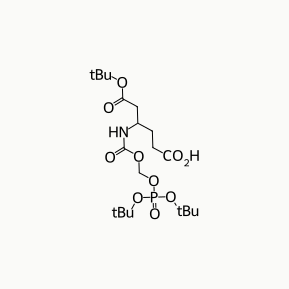 CC(C)(C)OC(=O)CC(CCC(=O)O)NC(=O)OCOP(=O)(OC(C)(C)C)OC(C)(C)C